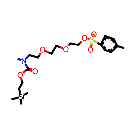 Cc1ccc(S(=O)(=O)OCCOCCOCCN(C)C(=O)OCC[Si](C)(C)C)cc1